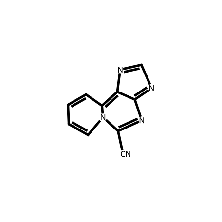 N#Cc1nc2ncnc-2c2ccccn12